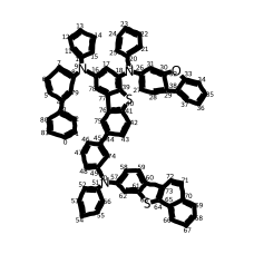 c1ccc(-c2cccc(N(c3ccccc3)c3cc(N(c4ccccc4)c4ccc5c(c4)oc4ccccc45)c4sc5ccc(-c6cccc(N(c7ccccc7)c7ccc8c(c7)sc7c9ccccc9ccc87)c6)cc5c4c3)c2)cc1